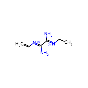 C=C/N=C(N)/C(N)=N/CC